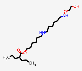 CCCC(CCC)C(=O)OCCCCCCNCCCCCCNOCCO